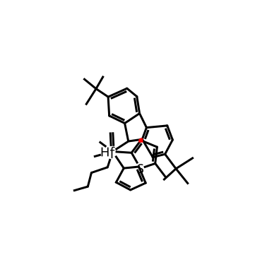 [CH2]=[Hf]([CH3])([CH3])([CH2]CCC)([c]1ccc(C)s1)([CH]1C=CC=C1)[CH]1c2cc(C(C)(C)C)ccc2-c2ccc(C(C)(C)C)cc21